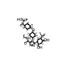 CCNC(=O)c1nnc(-c2cc(C(C)C)c(O)cc2O)n1-c1ccc(Oc2ccc(N(C)C(=O)O)cc2)cc1